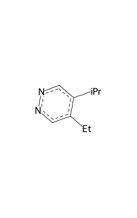 CCc1cnncc1C(C)C